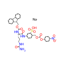 NC(=O)NCCC[C@H](NC(=O)OCC1c2ccccc2-c2ccccc21)C(=O)Nc1ccc(COC(=O)Oc2ccc([N+](=O)[O-])cc2)c(S(=O)(=O)O)c1.[Na]